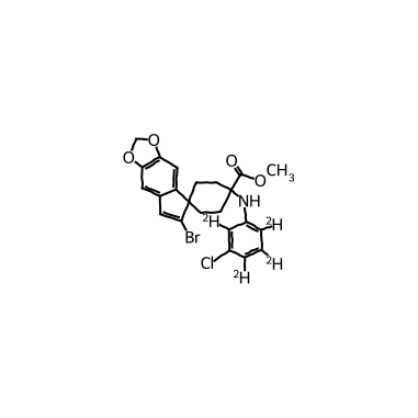 [2H]c1c([2H])c(Cl)c([2H])c(NC2(C(=O)OC)CCC3(CC2)C(Br)=Cc2cc4c(cc23)OCO4)c1[2H]